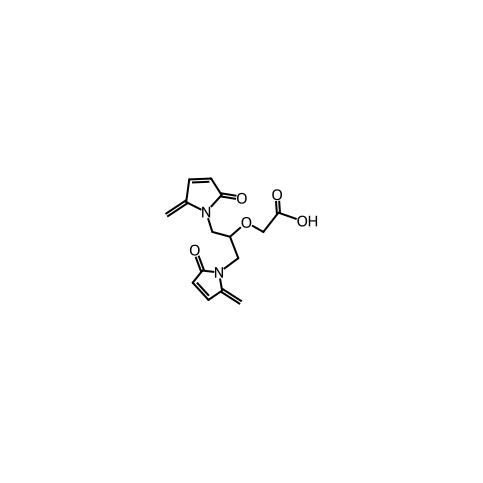 C=C1C=CC(=O)N1CC(CN1C(=C)C=CC1=O)OCC(=O)O